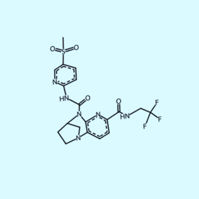 CS(=O)(=O)c1ccc(NC(=O)N2c3nc(C(=O)NCC(F)(F)F)ccc3N3CCC2C3)nc1